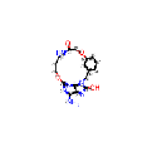 Nc1nc2nc3c1nc(O)n3Cc1cccc(c1)OCC(=O)NCCCO2